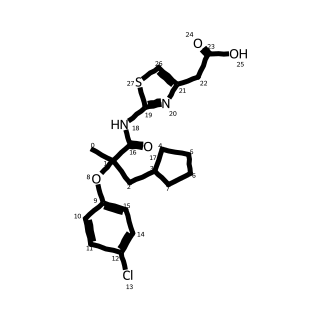 CC(CC1CCCC1)(Oc1ccc(Cl)cc1)C(=O)Nc1nc(CC(=O)O)cs1